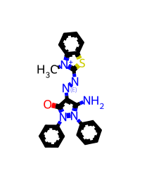 C[n+]1c(/N=N/c2c(N)n(-c3ccccc3)n(-c3ccccc3)c2=O)sc2ccccc21